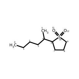 CCCCC(C)C1CCCS1(=O)=O